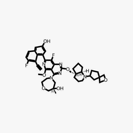 C#Cc1c(F)ccc2cc(O)cc(-c3nc(OC)c4c(N5CCOC[C@@](C)(O)C5)nc(OC[C@]56CCC[C@H]5N(C5CCC7(COC7)C5)CCC6)nc4c3F)c12